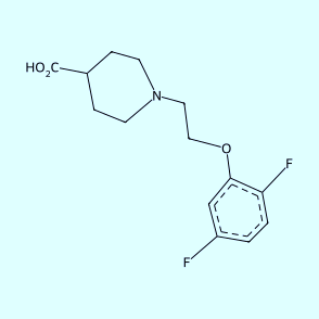 O=C(O)C1CCN(CCOc2cc(F)ccc2F)CC1